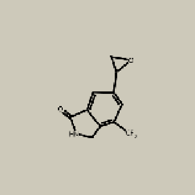 O=C1NCc2c1cc(C1CO1)cc2C(F)(F)F